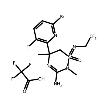 CN1C(N)=NC(C)(c2nc(Br)ccc2F)CS1(=O)=NCC(F)(F)F.O=C(O)C(F)(F)F